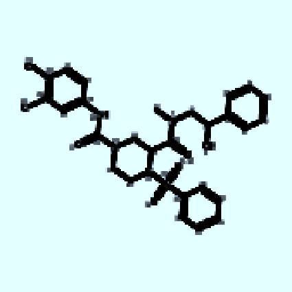 CN(CC(O)c1ccccc1)C(=O)C1CN(C(=O)Nc2ccc(Cl)c(Cl)c2)CCN1S(=O)(=O)c1ccccc1